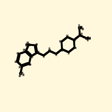 CCCCN(C)C1CCC(COCc2c[nH]c3ccc(C(F)(F)F)cc23)CC1